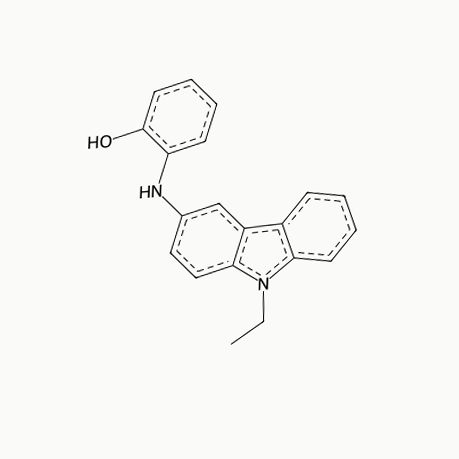 CCn1c2ccccc2c2cc(Nc3ccccc3O)ccc21